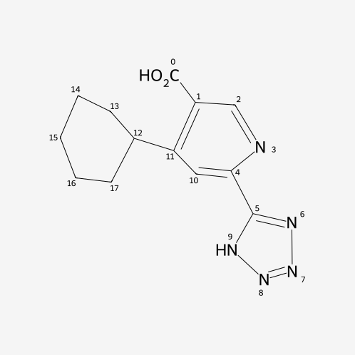 O=C(O)c1cnc(-c2nnn[nH]2)cc1C1CCCCC1